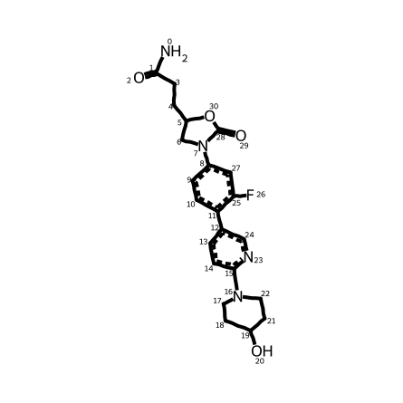 NC(=O)CCC1CN(c2ccc(-c3ccc(N4CCC(O)CC4)nc3)c(F)c2)C(=O)O1